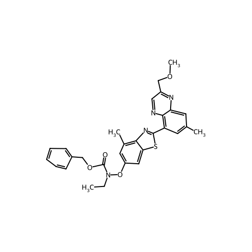 CCN(Oc1cc(C)c2nc(-c3cc(C)cc4nc(COC)cnc34)sc2c1)C(=O)OCc1ccccc1